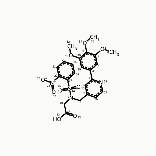 COc1cc(-c2cc(CN(CC(=O)O)S(=O)(=O)c3ccccc3[N+](=O)[O-])ccn2)cc(OC)c1OC